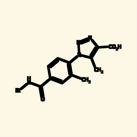 CCNC(=O)c1ccc(-n2nnc(C(=O)O)c2C)c(C)c1